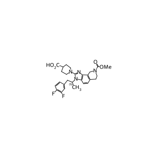 COC(=O)N1CCc2ccc3c(nc(N4CCC(C(=O)O)CC4)n3[C@@H](C)Cc3ccc(F)c(F)c3)c2C1